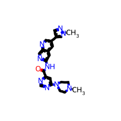 CN1CCN(c2cc(C(=O)Nc3cc4cc(-c5cnn(C)c5)cnc4cn3)ncn2)CC1